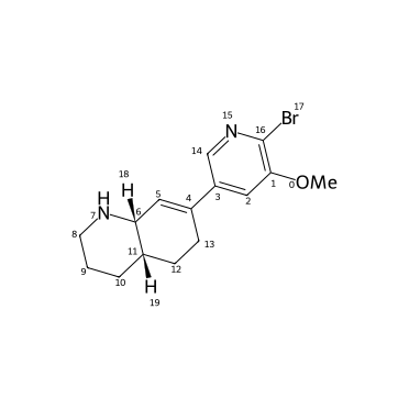 COc1cc(C2=C[C@H]3NCCC[C@H]3CC2)cnc1Br